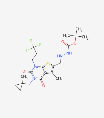 Cc1c(CNNC(=O)OC(C)(C)C)sc2c1c(=O)n(CC1(C)CC1)c(=O)n2CCC(F)(F)F